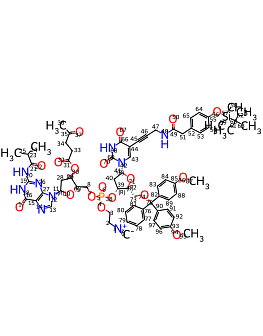 [C-]#[N+]CCOP(=O)(OC[C@H]1O[C@@H](n2cnc3c(=O)[nH]c(NC(=O)C(C)C)nc32)C[C@H]1OC(=O)CCC(C)=O)O[C@@H]1C[C@H](n2cc(C#CCNC(=O)Cc3ccc(O[Si](C)(C)C(C)(C)C)cc3)c(=O)[nH]c2=O)O[C@@H]1COC(c1ccccc1)(c1ccc(OC)cc1)c1ccc(OC)cc1